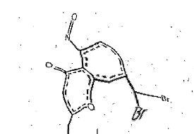 Cc1cc(=O)c2c(N=O)ccc(C(Br)Br)c2o1